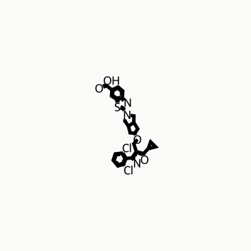 O=C(O)c1ccc2nc(N3CC4CC(OCc5c(-c6c(Cl)cccc6Cl)noc5C5CC5)CC4C3)sc2c1